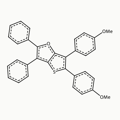 COc1ccc(-c2sc3c(-c4ccccc4)c(-c4ccccc4)oc3c2-c2ccc(OC)cc2)cc1